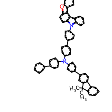 CC1(C)c2ccccc2-c2ccc(-c3ccc(N(c4ccc(-c5ccccc5)cc4)c4ccc(-c5ccc(-n6c7ccccc7c7c8c(ccc76)oc6ccccc68)cc5)cc4)cc3)cc21